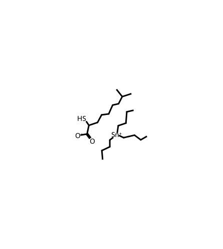 CC(C)CCCCCC(S)C(=O)[O-].CCC[CH2][Sn+]([CH2]CCC)[CH2]CCC